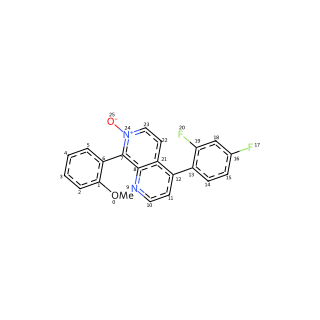 COc1ccccc1-c1c2nccc(-c3ccc(F)cc3F)c2cc[n+]1[O-]